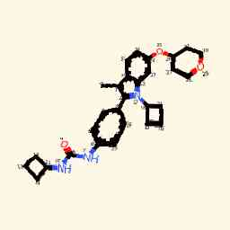 Cc1c(-c2ccc(NC(=O)NC3CCC3)cc2)n(C2CCC2)c2cc(OC3CCOCC3)ccc12